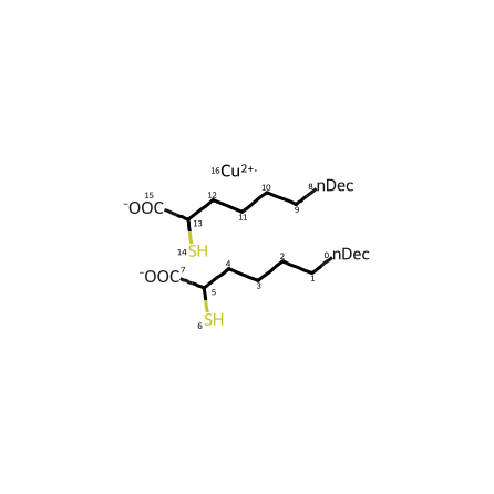 CCCCCCCCCCCCCCC(S)C(=O)[O-].CCCCCCCCCCCCCCC(S)C(=O)[O-].[Cu+2]